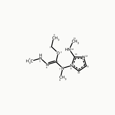 CCO/C(=N\NC)N(C)n1ccnc1NC